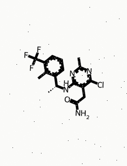 Cc1nc(Cl)c(CC(N)=O)c(N[C@H](C)c2cccc(C(F)(F)F)c2C)n1